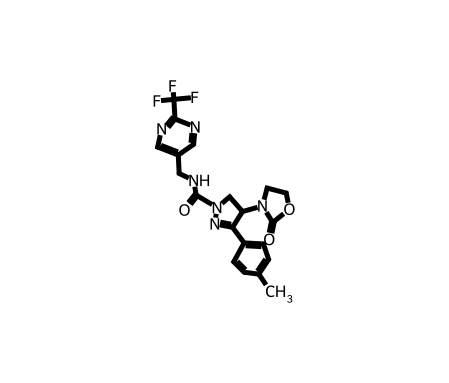 Cc1ccc(C2=NN(C(=O)NCc3cnc(C(F)(F)F)nc3)CC2N2CCOC2=O)cc1